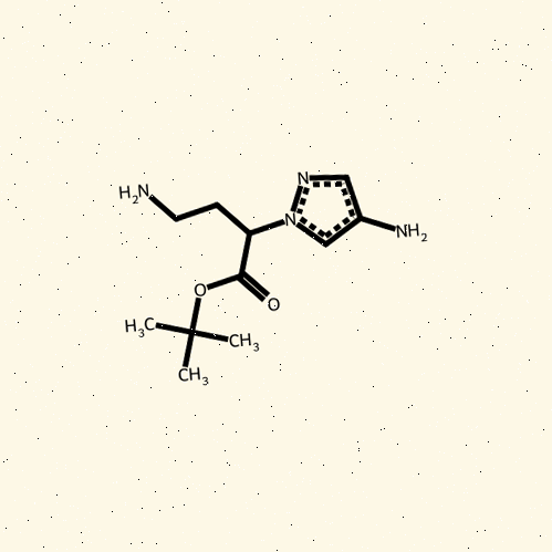 CC(C)(C)OC(=O)C(CCN)n1cc(N)cn1